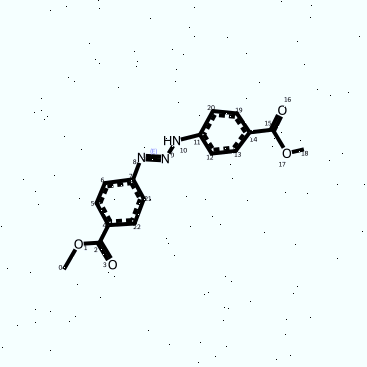 COC(=O)c1ccc(/N=N/Nc2ccc(C(=O)OC)cc2)cc1